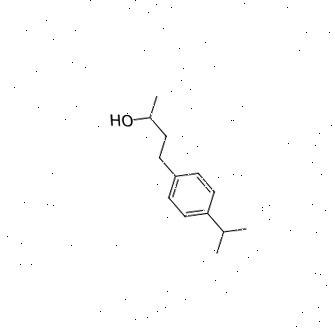 CC(O)CCc1ccc(C(C)C)cc1